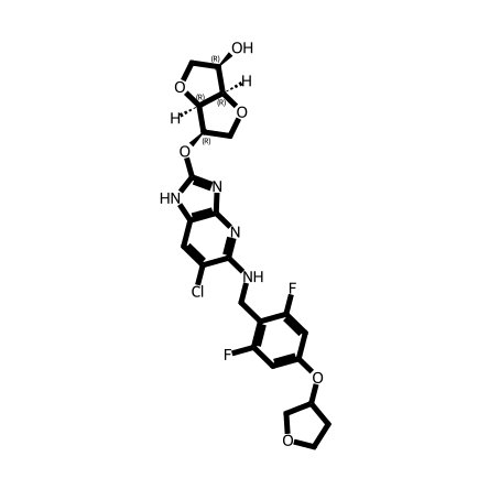 O[C@@H]1CO[C@H]2[C@@H]1OC[C@H]2Oc1nc2nc(NCc3c(F)cc(OC4CCOC4)cc3F)c(Cl)cc2[nH]1